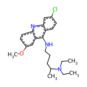 CCN(CC)C(C)CCCNc1c2ccc(Cl)cc2nc2ccc(OC)cc12